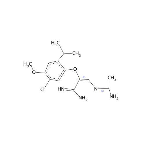 COc1cc(C(C)C)c(O/C(=C/N=C(\C)N)C(=N)N)cc1Cl